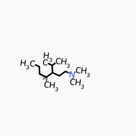 CCC[C@@H](C)C(CCN(C)C)C(C)C